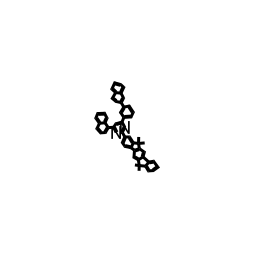 CC1(C)c2ccccc2-c2cc3c(cc21)-c1ccc(-c2nc(-c4cccc(-c5ccc6ccccc6c5)c4)cc(-c4cccc5ccccc45)n2)cc1C3(C)C